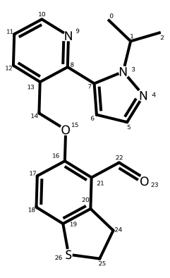 CC(C)n1nccc1-c1ncccc1COc1ccc2c(c1C=O)CCS2